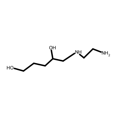 NCCNCC(O)CCCO